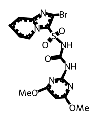 COc1cc(OC)nc(NC(=O)NS(=O)(=O)c2c(Br)nc3ccccn23)n1